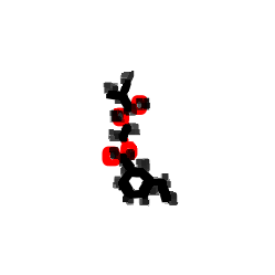 C=Cc1cc[c]c(C(=O)OCCOC(=O)C(=C)C)c1